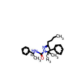 CCCCC1=NN(C(=O)N[C@@H](C)c2ccccc2)C(C)(C)C1c1ccccc1